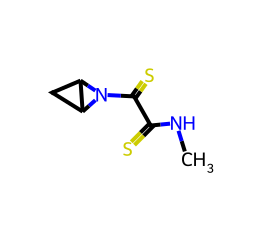 CNC(=S)C(=S)N1C2CC21